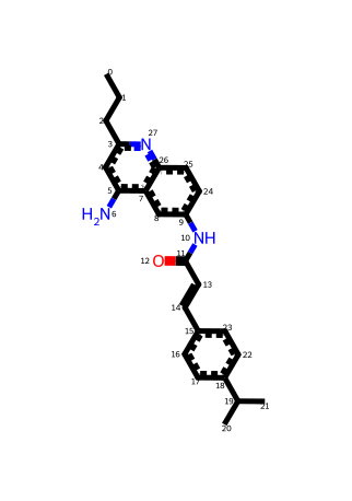 CCCc1cc(N)c2cc(NC(=O)/C=C/c3ccc(C(C)C)cc3)ccc2n1